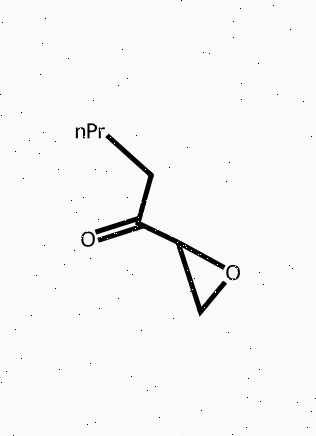 CCCCC(=O)C1CO1